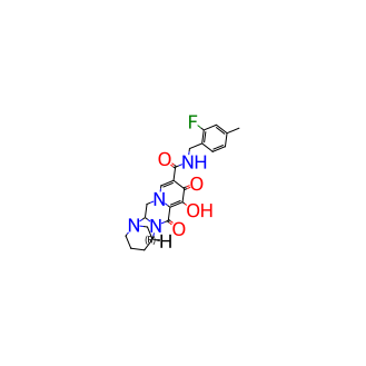 Cc1ccc(CNC(=O)c2cn3c(c(O)c2=O)C(=O)N2C(C3)N3CCC[C@@H]2C3)c(F)c1